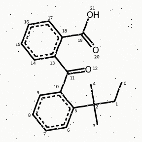 CCC(C)(C)c1ccccc1C(=O)c1ccccc1C(=O)O